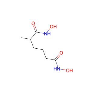 CC(CCCC(=O)NO)C(=O)NO